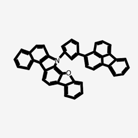 c1cc(-c2ccc3c4c(cccc24)-c2ccccc2-3)cc(-n2c3ccc4ccccc4c3c3ccc4c5ccccc5oc4c32)c1